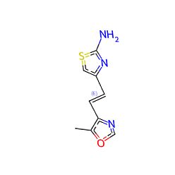 Cc1ocnc1/C=C/c1csc(N)n1